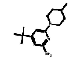 CC1CCN(c2cc(C(C)(C)C)nc(N)n2)CC1